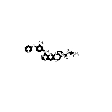 Cc1cc(Nc2ncnc3cc4c(nc23)N2CCN(C(=O)OC(C)(C)C)[C@H](CO4)C2)ccc1Oc1cccnc1